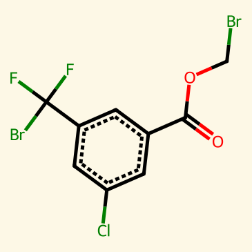 O=C(OCBr)c1cc(Cl)cc(C(F)(F)Br)c1